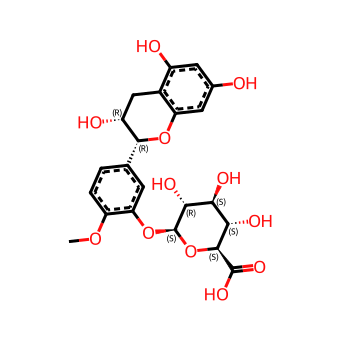 COc1ccc([C@H]2Oc3cc(O)cc(O)c3C[C@H]2O)cc1O[C@@H]1O[C@H](C(=O)O)[C@@H](O)[C@H](O)[C@H]1O